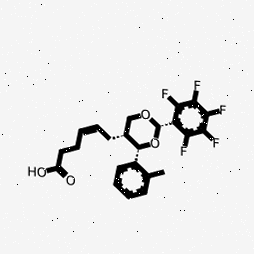 Cc1ccccc1[C@H]1O[C@@H](c2c(F)c(F)c(F)c(F)c2F)OC[C@H]1C/C=C\CCC(=O)O